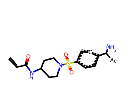 C=CC(=O)NC1CCN(S(=O)(=O)c2ccc(C(N)C(C)=O)cc2)CC1